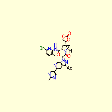 CC(=O)c1nn(CC(=O)N2[C@H](C(=O)Nc3nc(Br)ccc3C)C[C@@]3(C4COC(=O)O4)C[C@@H]23)c2cnc(-c3cnc(C)nc3)cc12